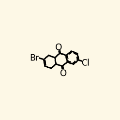 O=C1c2cc(Cl)ccc2C(=O)C2CC(Br)=CCC12